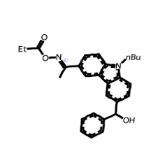 CCCCn1c2ccc(/C(C)=N/OC(=O)CC)cc2c2cc(C(O)c3ccccc3)ccc21